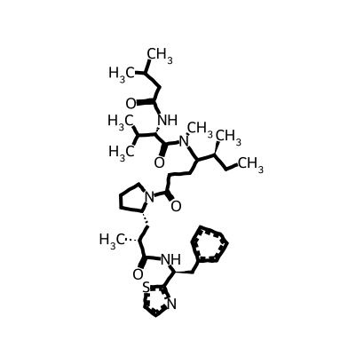 CC[C@H](C)C(CCC(=O)N1CCC[C@H]1C[C@@H](C)C(=O)N[C@@H](Cc1ccccc1)c1nccs1)N(C)C(=O)[C@@H](NC(=O)CC(C)C)C(C)C